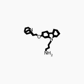 NCCCCn1c2ccccc2c2ccc(OCC=C3CC4CCN3CC4)cc21